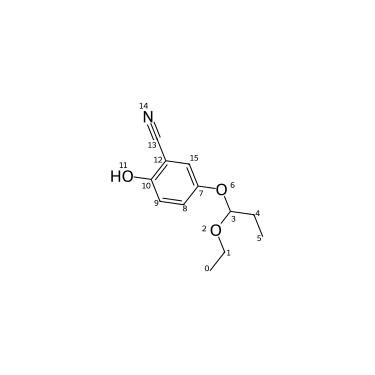 CCOC(CC)Oc1ccc(O)c(C#N)c1